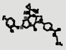 CCOC(=O)N1CCC(N2CCC2C(=O)N2C[C@H](Sc3ccc(F)cc3Cl)C[C@H]2C(=O)NC2(C#N)CC2)CC1